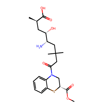 COC(=O)[C@H]1CN(C(=O)CC(C)(C)C[C@H](N)[C@@H](O)C[C@@H](C)C(=O)O)c2ccccc2S1